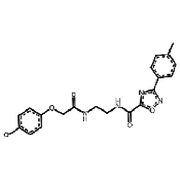 Cc1ccc(-c2noc(C(=O)NCCNC(=O)COc3ccc(Cl)cc3)n2)cc1